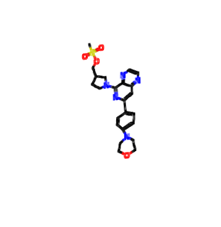 CS(=O)(=O)OCC1CCN(c2nc(-c3ccc(N4CCOCC4)cc3)cc3nccnc23)C1